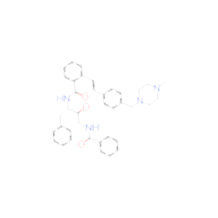 CN1CCN(Cc2ccc(C=Cc3ccccc3C(=O)N[C@@H](Cc3ccccc3)C(=O)CNC(=O)c3ccccc3)cc2)CC1